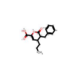 CCCC1C=C(C(=O)O)OC(=O)C1Cc1ccccc1